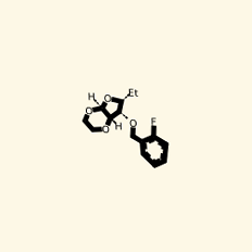 CC[C@H]1O[C@@H]2OCCO[C@@H]2[C@H]1OCc1ccccc1F